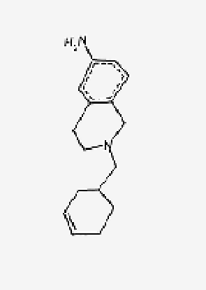 Nc1ccc2c(c1)CCN(CC1CC=CCC1)C2